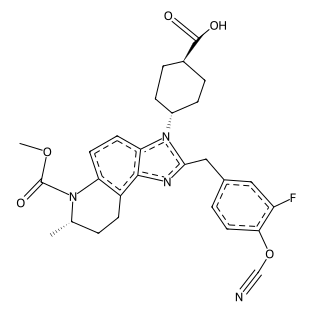 COC(=O)N1c2ccc3c(nc(Cc4ccc(OC#N)c(F)c4)n3[C@H]3CC[C@H](C(=O)O)CC3)c2CC[C@@H]1C